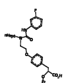 CCCCCCCN(CCOc1ccc(CC(OCC)C(=O)O)cc1)C(=O)Nc1cccc(F)c1